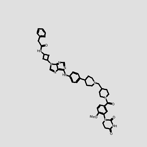 COc1ccc(C(=O)N2CCC(CN3CCC(c4ccc(Nc5ncnc6c5ncn6C5CC(NC(=O)Cc6ccccc6)C5)cc4)CC3)CC2)cc1N1CCC(=O)NC1=O